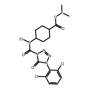 CCN(C(=O)n1nnn(-c2c(Cl)cccc2Cl)c1=O)C1CCC(C(=O)OP(C)C)CC1